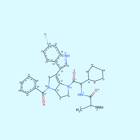 CNC(C)C(=O)NC(C(=O)N1CCC2C1=C(c1c[nH]c3cc(F)ccc13)CN2C(=O)c1ccccc1)C1CCCCC1